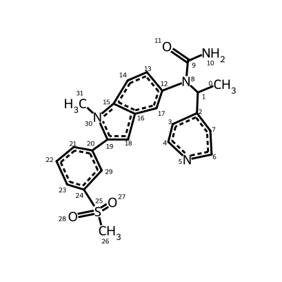 CC(c1ccncc1)N(C(N)=O)c1ccc2c(c1)cc(-c1cccc(S(C)(=O)=O)c1)n2C